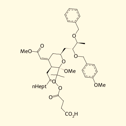 CCCCCCCC(=O)C[C@H]1/C(=C/C(=O)OC)C[C@@H](C[C@@H](OCc2ccc(OC)cc2)[C@H](C)OCc2ccccc2)O[C@@]1(OC)C(C)(C)COC(=O)CCC(=O)O